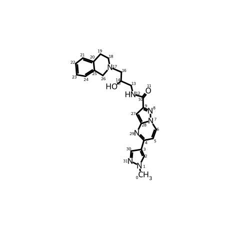 Cn1cc(-c2ccn3nc(C(=O)NCC(O)CN4CCc5ccccc5C4)cc3n2)cn1